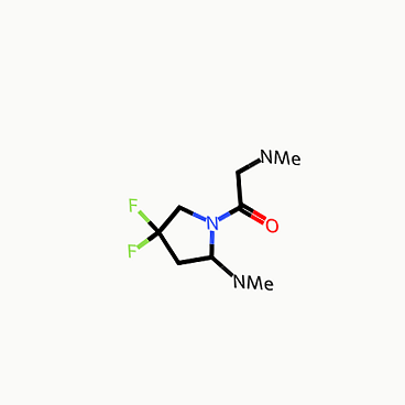 CNCC(=O)N1CC(F)(F)CC1NC